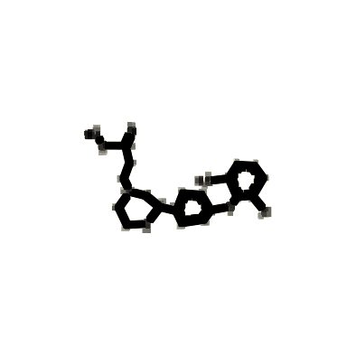 Cc1cccc(Cl)c1Oc1ccc(C2CN(CCC(=O)OC(C)(C)C)CCS2)cc1